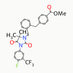 COC(=O)c1ccc(Cc2ccccc2CN2C(=O)N(c3ccc(F)c(C(F)(F)F)c3)C(=O)C2(C)C)cc1